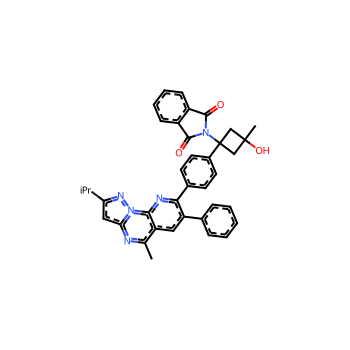 Cc1nc2cc(C(C)C)nn2c2nc(-c3ccc(C4(N5C(=O)c6ccccc6C5=O)CC(C)(O)C4)cc3)c(-c3ccccc3)cc12